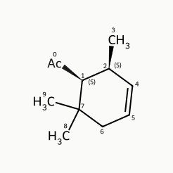 CC(=O)[C@H]1[C@@H](C)C=CCC1(C)C